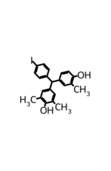 Cc1cc(C(c2ccc(I)cc2)c2cc(C)c(O)c(C)c2)ccc1O